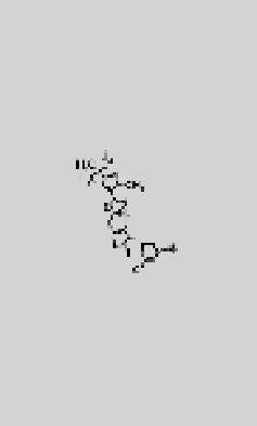 Cn1nc(C(C)(C)C)cc1-c1nnc(Cc2ccc(I)c(Oc3cc(Cl)cc(C#N)c3)c2F)o1